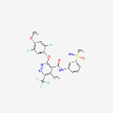 COc1cc(F)c(Oc2nnc(C(F)(F)F)c(C)c2C(=O)Nc2cccc(S(C)(=N)=O)c2)cc1F